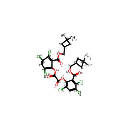 CC(C)C1(C)CC(COC(=O)c2c(Cl)c(Cl)cc(Cl)c2OC(=O)C(=O)Oc2c(Cl)cc(Cl)c(Cl)c2C(=O)OCC2CC(C)(C(C)C)C2)C1